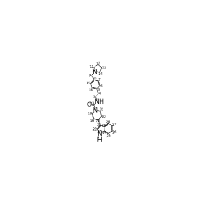 O=C(NCCc1ccc(CN2CCCC2)cc1)N1CCC(c2c[nH]c3ccccc23)CC1